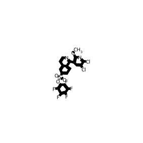 COc1nc(Cl)c(Cl)cc1-c1nccc2cc(S(=O)(=O)Oc3c(F)c(F)c(F)c(F)c3F)ccc12